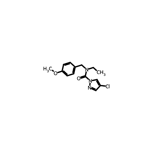 CCN(Cc1ccc(OC)cc1)C(=O)n1cc(Cl)cn1